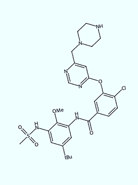 COc1c(NC(=O)c2ccc(Cl)c(Oc3cc(CN4CCNCC4)ncn3)c2)cc(C(C)(C)C)cc1NS(C)(=O)=O